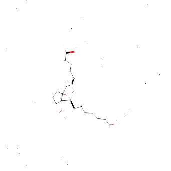 COC1(C/C=C\CCCC(=O)O)CCC[C@@]1(/C=C/CCCCCCO)OC